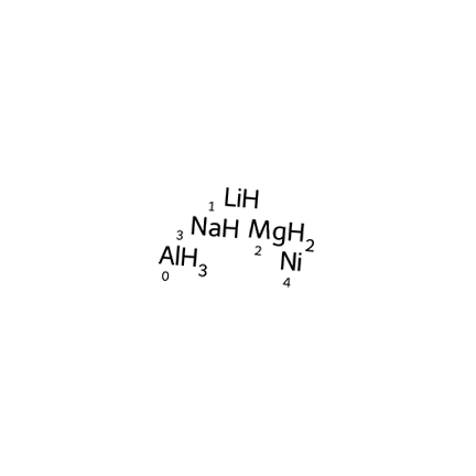 [AlH3].[LiH].[MgH2].[NaH].[Ni]